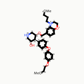 COCCCN1CCOc2ccc(CO[C@H]3CNC[C@@H](O)[C@@H]3c3ccc(Oc4ccc(OCCOC)cc4)cc3)cc21